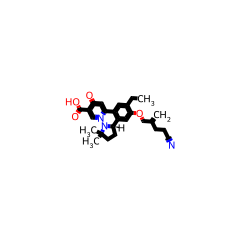 C=C(CCC#N)COc1cc2c(cc1CC)-c1cc(=O)c(C(=O)O)cn1N1[C@@H]2CCC1(C)C